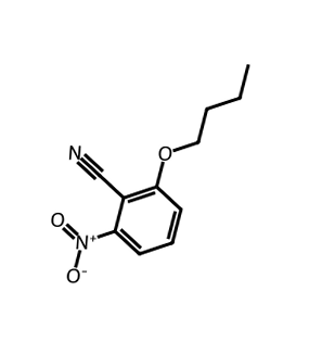 CCCCOc1cccc([N+](=O)[O-])c1C#N